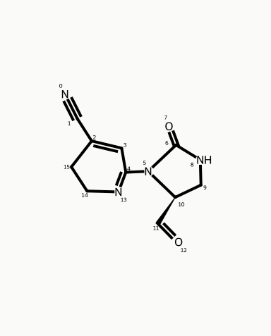 N#CC1=CC(N2C(=O)NC[C@H]2C=O)=NCC1